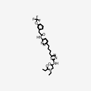 CCC(=O)N(CC)CC(=O)Nc1nnc(CCCCc2ccc(NC(=O)Cc3cccc(OC(F)(F)F)c3)nn2)s1